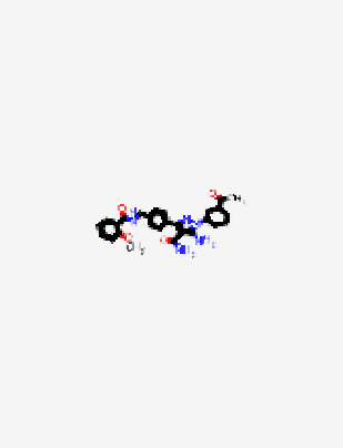 COc1ccccc1C(=O)NCc1ccc(-c2nn(C3CCCC(C(C)=O)C3)c(N)c2C(N)=O)cc1